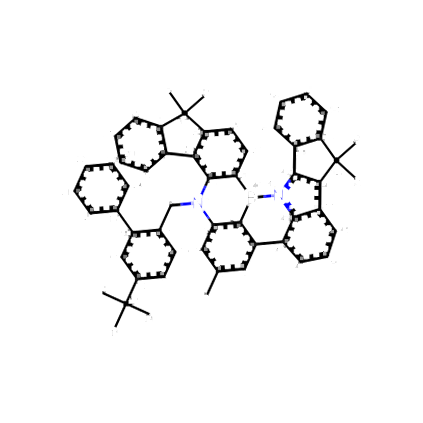 Cc1cc2c3c(c1)N(Cc1ccc(C(C)(C)C)cc1-c1ccccc1)c1c(ccc4c1-c1ccccc1C4(C)C)B3n1c3c(c4cccc-2c41)C(C)(C)c1ccccc1-3